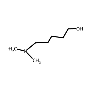 [CH2]N(C)CCCCCO